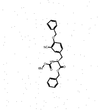 CC(C)(C)OC(=O)N[C@@H](Cc1ccc(OCc2ccccc2)c(C#N)c1)C(=O)OCc1ccccc1